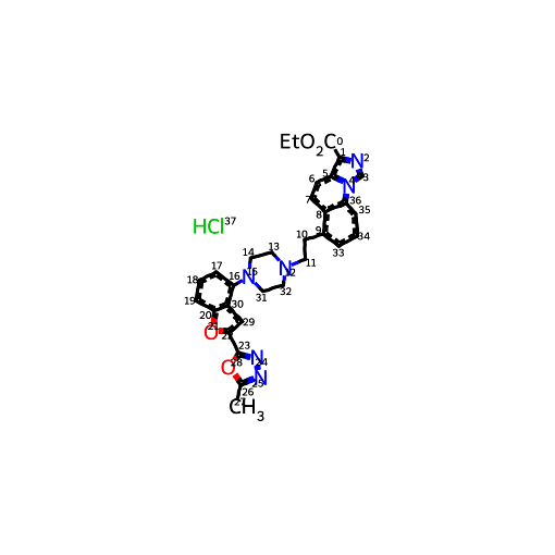 CCOC(=O)c1ncn2c1ccc1c(CCN3CCN(c4cccc5oc(-c6nnc(C)o6)cc45)CC3)cccc12.Cl